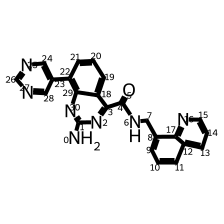 Nc1nc(C(=O)NCc2cccc3cccnc23)c2cccc(-c3cncnc3)c2n1